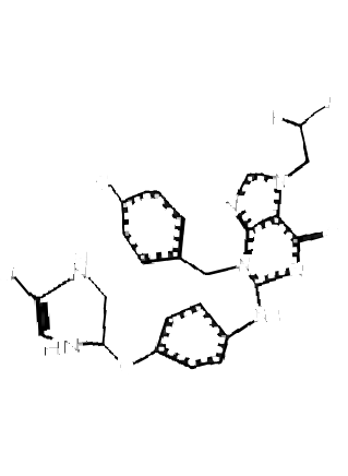 O=c1nc(Nc2ccc(OC3CNC(Cl)=CN3)cc2)n(Cc2ccc(Cl)cc2)c2ncn(CC(F)F)c12